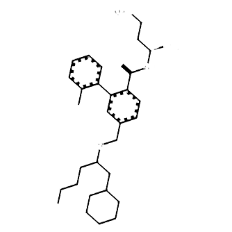 CSCC[C@H](NC(=O)c1ccc(CNC(CCCC(C)C)CC2CCCCC2)cc1-c1ccccc1C)C(=O)O